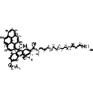 COc1ccc(C(O)(c2cccc(C(=O)NCCCOCCOCCOCCCN)c2)c2ccc3ccc4cccc5ccc2c3c45)c(OC)c1